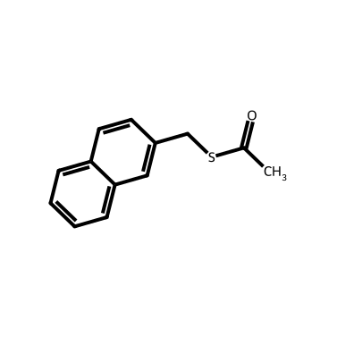 CC(=O)SCc1ccc2ccccc2c1